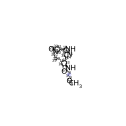 COC/C=C/C(=O)Nc1cccc(-c2cnc3[nH]cc(-c4ccc(=O)n(CC5CC5)c4)c3c2)c1